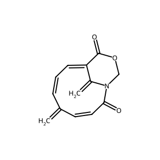 C=c1cccc2c(=C)n(c(=O)cc1)COC2=O